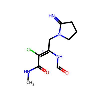 CNC(=O)/C(Cl)=C(/CN1CCCC1=N)NC=O